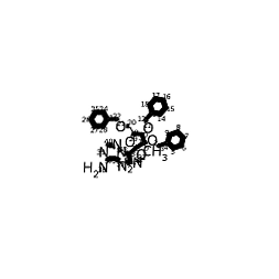 C[C@@]1(OCc2ccccc2)[C@H](OCc2ccccc2)[C@@H](COCc2ccccc2)OC1(ON)c1cnc2c(N)ncnn12